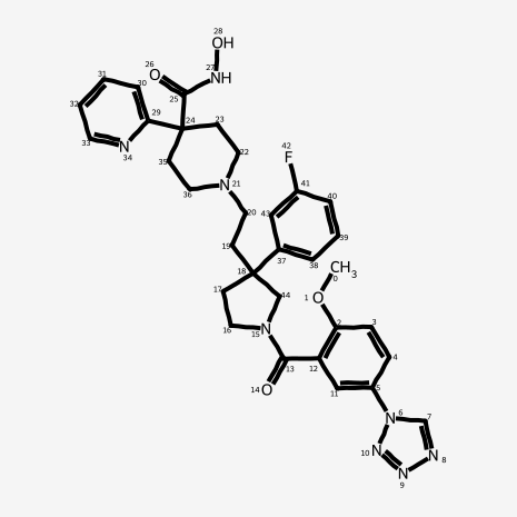 COc1ccc(-n2cnnn2)cc1C(=O)N1CCC(CCN2CCC(C(=O)NO)(c3ccccn3)CC2)(c2cccc(F)c2)C1